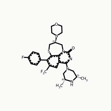 C[C@@H]1CN(c2nc(=O)n3c4c(c(-c5ccc(F)cc5)c(C(F)(F)F)cc24)SC[C@@H](N2CCOCC2)C3)C[C@H](C)N1